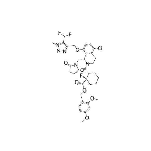 COc1ccc(COC(=O)[C@@]2(F)CCCC[C@H]2C(=O)N2CCc3c(Cl)ccc(OCc4nnn(C)c4C(F)F)c3[C@H]2CN2CCCC2=O)c(OC)c1